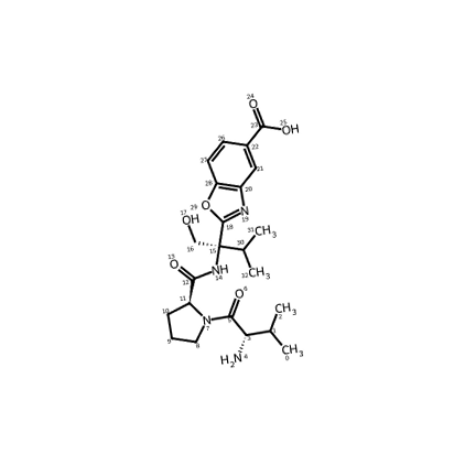 CC(C)[C@H](N)C(=O)N1CCC[C@H]1C(=O)N[C@@](CO)(c1nc2cc(C(=O)O)ccc2o1)C(C)C